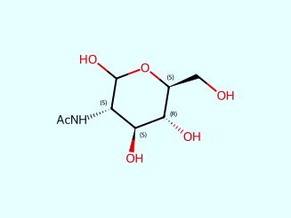 CC(=O)N[C@@H]1C(O)O[C@@H](CO)[C@H](O)[C@H]1O